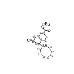 CC(C)(C)OC(=O)N1CCc2c(nc(Cl)nc2C2CCCCCCCC2)C1